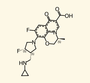 C[C@H]1COc2c(N3C[C@H](CNC4CC4)[C@H](F)C3)c(F)cc3c(=O)c(C(=O)O)cn1c23